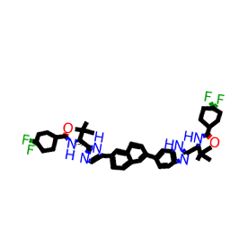 CC(C)(C)C(NC(=O)C1CCC(F)(F)CC1)c1nc2ccc(-c3ccc4cc(-c5cnc([C@@H](NC(=O)C6CCC(F)(F)CC6)C(C)(C)C)[nH]5)ccc4c3)cc2[nH]1